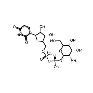 N[C@@H]1C(OP(=O)(O)OP(=O)(O)OCC2OC(n3ccc(=O)[nH]c3=O)[C@H](O)[C@@H]2O)OC(CO)[C@H](O)[C@@H]1O